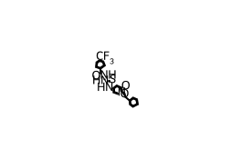 O=C(NNC(=S)Nc1ccn(OCc2ccccc2)c(=O)c1)c1ccc(C(F)(F)F)cc1